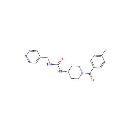 Cc1ccc(C(=O)N2CCC(NC(=O)NCc3ccncc3)CC2)cc1